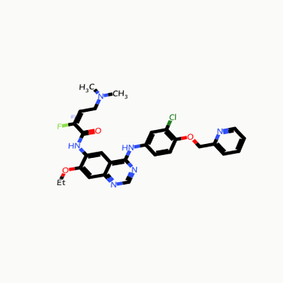 CCOc1cc2ncnc(Nc3ccc(OCc4ccccn4)c(Cl)c3)c2cc1NC(=O)/C(F)=C\CN(C)C